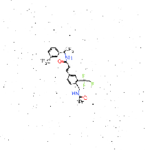 CC(C)C(=O)NCc1ccc(/C=C/C(=O)NC(c2cccc(C(F)(F)F)c2)C(F)(F)F)cc1C(F)(F)CF